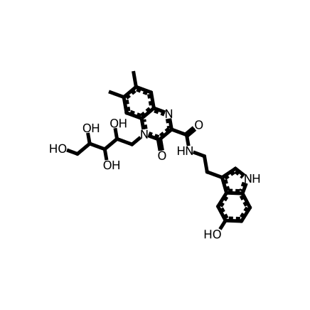 Cc1cc2nc(C(=O)NCCc3c[nH]c4ccc(O)cc34)c(=O)n(CC(O)C(O)C(O)CO)c2cc1C